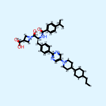 CCCC1CCC(C2CCN(c3cnc(-c4ccc(C[C@H](NC(=O)c5ccc(C(C)C)cc5)C(=O)N5CC(C(=O)O)C5)cc4)nc3)CC2)CC1